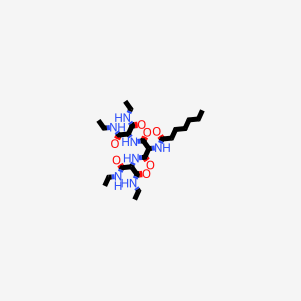 CCCCCCC(=O)NC(C(=O)NC(C(=O)NCC)C(=O)NCC)C(=O)NC(C(=O)NCC)C(=O)NCC